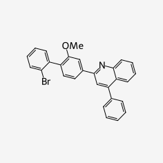 COc1cc(-c2cc(-c3ccccc3)c3ccccc3n2)ccc1-c1ccccc1Br